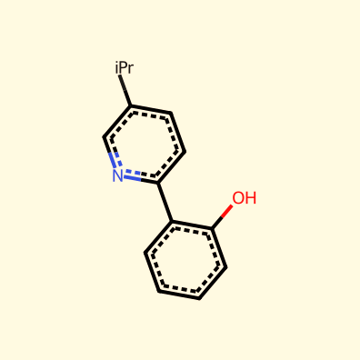 CC(C)c1ccc(-c2ccccc2O)nc1